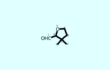 CC1(C)CCOC1C=O